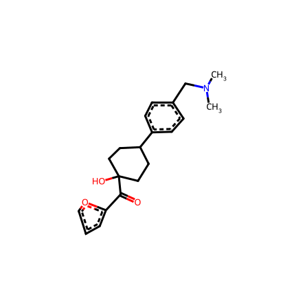 CN(C)Cc1ccc(C2CCC(O)(C(=O)c3ccco3)CC2)cc1